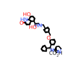 O=C(O)N(C1CN2CCC1CC2)[C@H](c1ccccc1)c1cccc(OCc2ccc(CNC[C@H](O)c3ccc(O)c4[nH]c(=O)ccc34)cc2)c1